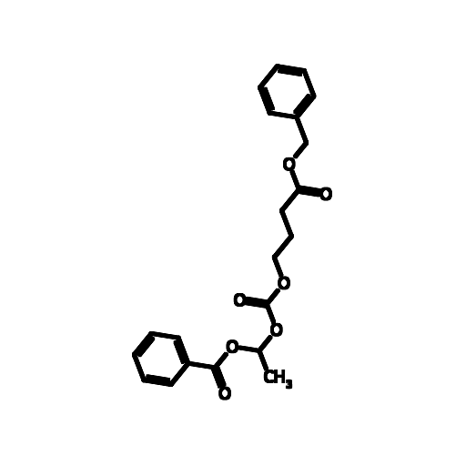 CC(OC(=O)OCCCC(=O)OCc1ccccc1)OC(=O)c1ccccc1